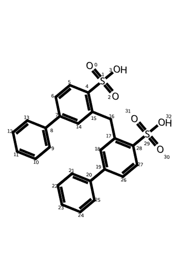 O=S(=O)(O)c1ccc(-c2ccccc2)cc1Cc1cc(-c2ccccc2)ccc1S(=O)(=O)O